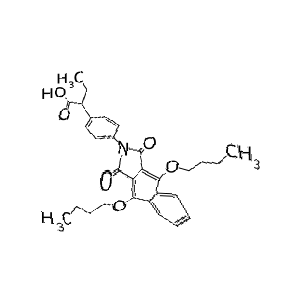 CCCCOc1c2c(c(OCCCC)c3ccccc13)C(=O)N(c1ccc(C(CC)C(=O)O)cc1)C2=O